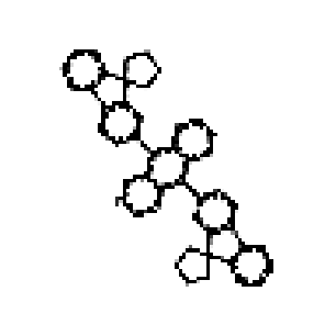 c1ccc2c(c1)-c1ccc(-c3c4ccccc4c(-c4ccc5c(c4)C4(CCCC4)c4ccccc4-5)c4cnccc34)cc1C21CCCC1